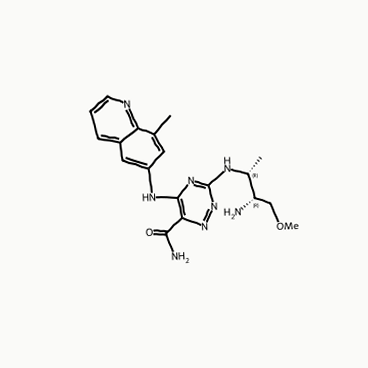 COC[C@H](N)[C@@H](C)Nc1nnc(C(N)=O)c(Nc2cc(C)c3ncccc3c2)n1